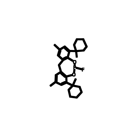 Cc1cc2c(c(C3(C)CCCCC3)c1)OP(F)Oc1c(cc(C)cc1C1(C)CCCCC1)C2